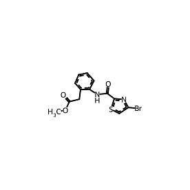 COC(=O)Cc1ccccc1NC(=O)c1nc(Br)cs1